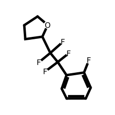 Fc1ccccc1C(F)(F)C(F)(F)C1CCCO1